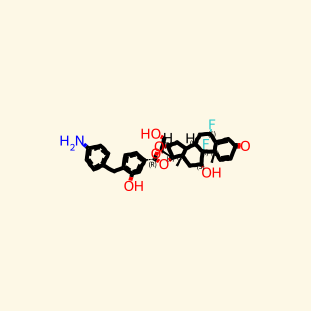 C[C@]12C=CC(=O)C=C1[C@@H](F)C[C@H]1C3C[C@H]4O[C@@H](c5ccc(Cc6ccc(N)cc6)c(O)c5)O[C@@]4(C(=O)CO)[C@@]3(C)C[C@H](O)[C@@]12F